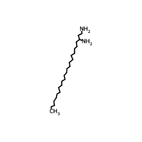 CCCCCCCCCCCCCCCCCCCCCCC(N)CCN